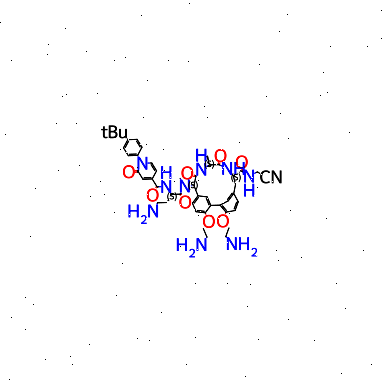 C[C@@H]1NC(=O)[C@@H](N(C)C(=O)[C@H](CCN)NC(=O)c2ccn(-c3ccc(C(C)(C)C)cc3)c(=O)c2)c2ccc(OCCN)c(c2)-c2cc(ccc2OCCN)C[C@@H](C(=O)NCC#N)NC1=O